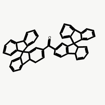 O=C(C1=CCC2C(=C1)C1(c3ccccc3-c3ccccc31)c1ccccc12)c1ccc2c(c1)C1(c3ccccc3-c3ccccc31)C1C=CC=CC21